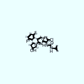 O=C(Nc1c(Cl)nn2ccc(N3C[C@@H](O)C[C@@H]3c3cc(F)ccc3F)nc12)NC1CC1